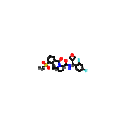 C[C@@H]1CC[C@H](C(=O)N[C@@H](c2ccc(F)cc2F)C2COC2)N1C(=O)c1cccc(S(C)(=O)=O)c1